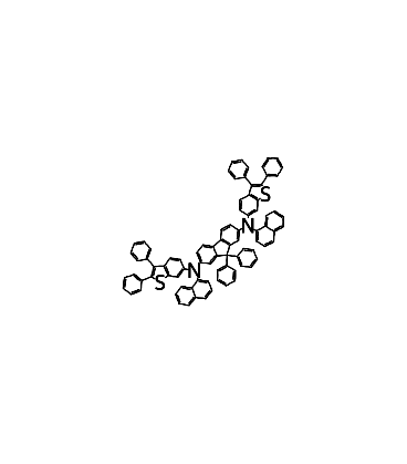 c1ccc(-c2sc3cc(N(c4ccc5c(c4)C(c4ccccc4)(c4ccccc4)c4cc(N(c6ccc7c(-c8ccccc8)c(-c8ccccc8)sc7c6)c6cccc7ccccc67)ccc4-5)c4cccc5ccccc45)ccc3c2-c2ccccc2)cc1